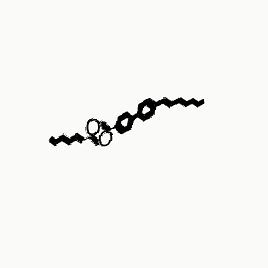 CCCCCCCc1ccc(-c2ccc([C@@H]3CO[C@@H](CCCCCC)CO3)cc2)cc1